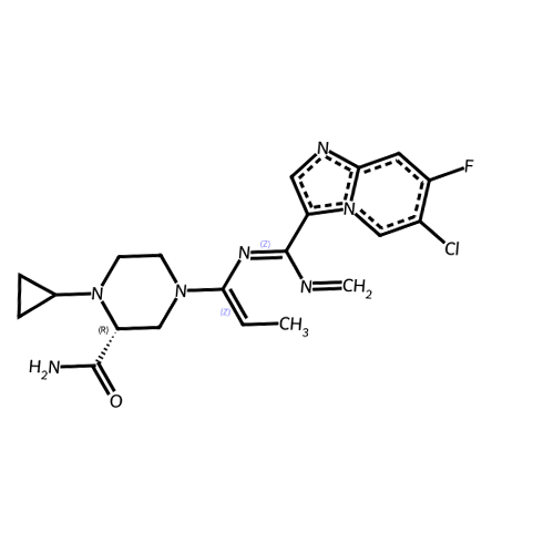 C=N/C(=N\C(=C/C)N1CCN(C2CC2)[C@@H](C(N)=O)C1)c1cnc2cc(F)c(Cl)cn12